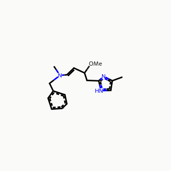 COC(C=CN(C)Cc1cc[c]cc1)Cc1nc(C)c[nH]1